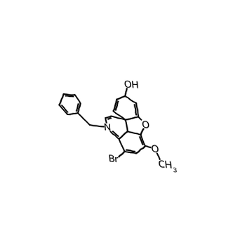 COC1=C2OC3=CC(O)C=CC34C=CN(Cc3ccccc3)C=C(C(Br)=C1)C24